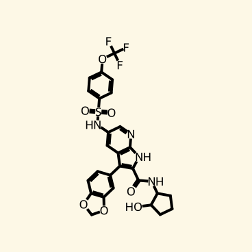 O=C(NC1CCCC1O)c1[nH]c2ncc(NS(=O)(=O)c3ccc(OC(F)(F)F)cc3)cc2c1-c1ccc2c(c1)OCO2